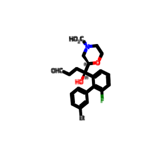 CCc1cccc(-c2c(F)cccc2[C@](O)(CCC=O)[C@H]2CN(C(=O)O)CCO2)c1